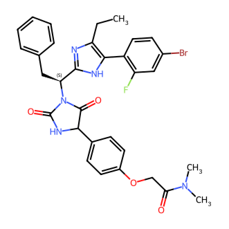 CCc1nc([C@H](Cc2ccccc2)N2C(=O)NC(c3ccc(OCC(=O)N(C)C)cc3)C2=O)[nH]c1-c1ccc(Br)cc1F